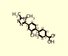 Cc1cc(-c2nnc(C)n2C)ccc1-c1ccc(C(=O)O)cc1